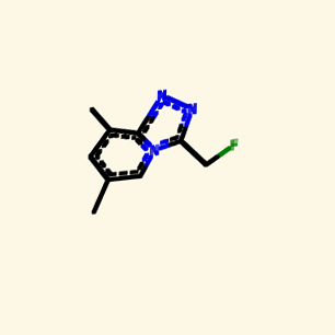 Cc1cc(C)c2nnc(CF)n2c1